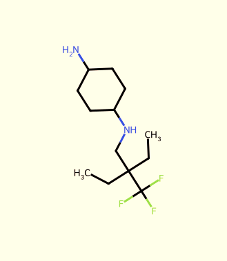 CCC(CC)(CNC1CCC(N)CC1)C(F)(F)F